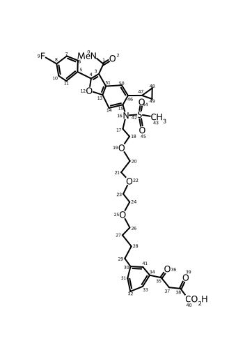 CNC(=O)c1c(-c2ccc(F)cc2)oc2cc(N(CCOCCOCCOCCCCc3cccc(C(=O)CC(=O)C(=O)O)c3)S(C)(=O)=O)c(C3CC3)cc12